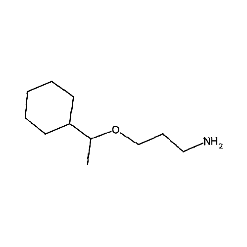 CC(OCCCN)C1CCCCC1